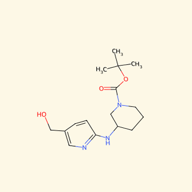 CC(C)(C)OC(=O)N1CCCC(Nc2ccc(CO)cn2)C1